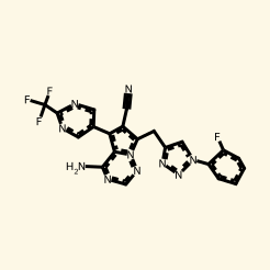 N#Cc1c(-c2cnc(C(F)(F)F)nc2)c2c(N)ncnn2c1Cc1cn(-c2ccccc2F)nn1